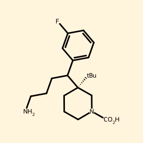 CC(C)(C)[C@@]1(C(CCCN)c2cccc(F)c2)CCCN(C(=O)O)C1